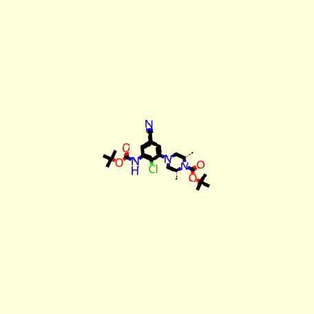 C[C@@H]1CN(c2cc(C#N)cc(NC(=O)OC(C)(C)C)c2Cl)C[C@H](C)N1C(=O)OC(C)(C)C